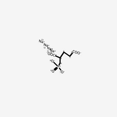 O=C([O-])CCC(CP(=O)([O-])[O-])C(=O)[O-].[Na+].[Na+].[Na+].[Na+]